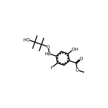 COC(=O)c1cc(F)c(BOC(C)(C)C(C)(C)O)cc1O